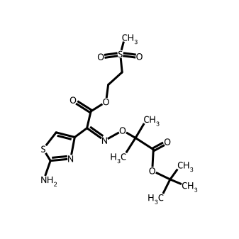 CC(C)(C)OC(=O)C(C)(C)O/N=C(\C(=O)OCCS(C)(=O)=O)c1csc(N)n1